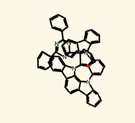 c1ccc(-c2nc(-c3ccccc3)nc(-c3ccccc3-n3c4ccccc4c4ccc5c6ccccc6n(-c6cccc(-n7c8ccccc8c8ccccc87)c6)c5c43)n2)cc1